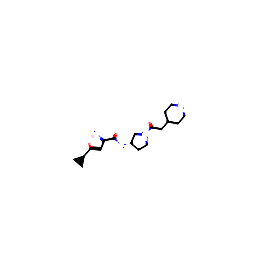 C[C@H]1CN(C(=O)CC2CCNCC2)C[C@@H]1NC(=O)c1cc(C2=CC2)on1